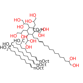 CCCCCCCCC=CCCCCCCCC(=O)O.CCCCCCCCC=CCCCCCCCC(=O)O.CCCCCCCCC=CCCCCCCCC(=O)O.O=C(O)C(CC(O)CO)C(CC(O)CO)C(CC(O)CO)C(CC(O)CO)C(CCC=CCCCCCCCCCC(O)CO)CC(O)CO